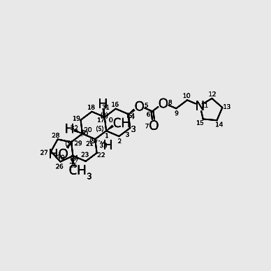 C[C@]12CC[C@H](OC(=O)OCCN3CCCC3)C[C@H]1CC[C@@H]1[C@@H]2CC[C@]2(C)CCC[C@]12O